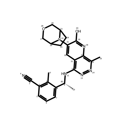 Cc1c(C#N)cccc1[C@@H](C)Nc1nnc(C)c2nc(O)c(N3C4CCC3COC4)cc12